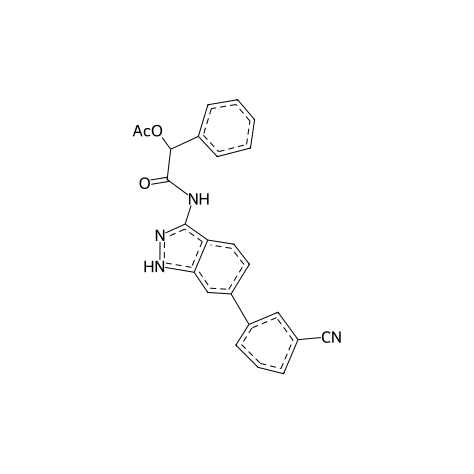 CC(=O)OC(C(=O)Nc1n[nH]c2cc(-c3cccc(C#N)c3)ccc12)c1ccccc1